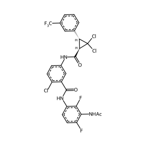 CC(=O)Nc1c(F)ccc(NC(=O)c2cc(NC(=O)[C@H]3[C@H](c4cccc(C(F)(F)F)c4)C3(Cl)Cl)ccc2Cl)c1F